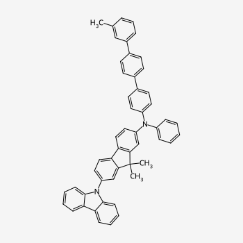 Cc1cccc(-c2ccc(-c3ccc(N(c4ccccc4)c4ccc5c(c4)C(C)(C)c4cc(-n6c7ccccc7c7ccccc76)ccc4-5)cc3)cc2)c1